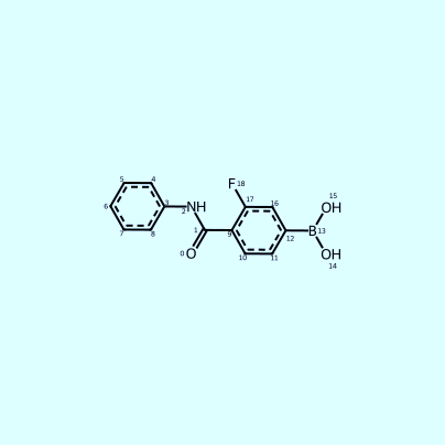 O=C(Nc1ccccc1)c1ccc(B(O)O)cc1F